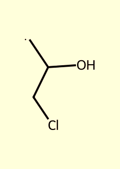 [CH2]C(O)CCl